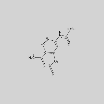 Cc1cc(=O)oc2cc(NC(=O)C(C)(C)C)ccc12